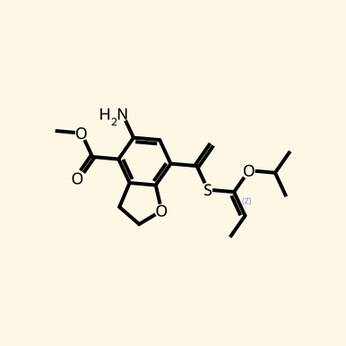 C=C(S/C(=C\C)OC(C)C)c1cc(N)c(C(=O)OC)c2c1OCC2